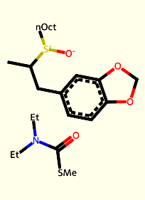 CCCCCCCC[S+]([O-])C(C)Cc1ccc2c(c1)OCO2.CCN(CC)C(=O)SC